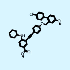 COC(=O)c1ccc(NC2CCCCC2)c(C#Cc2ccc(OCc3cc(OC)ccc3-c3ccc(Cl)cc3)cc2)c1